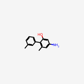 Cc1cccc(-c2c(C)cc(N)cc2O)c1